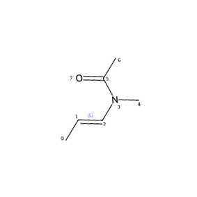 C/C=C/N(C)C(C)=O